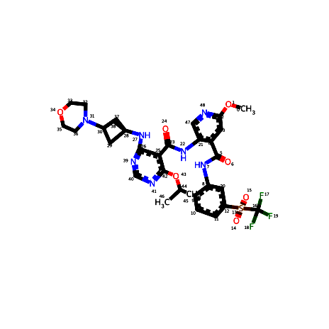 COc1cc(C(=O)Nc2cccc(S(=O)(=O)C(F)(F)F)c2)c(NC(=O)c2c(NC34CC(N5CCOCC5)(C3)C4)ncnc2OC(C)C)cn1